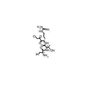 CC(C)C[C@H](N)C(=O)N[C@H](C(=O)N[C@@H](CCCNC(=N)N)C(=O)C(=O)CCl)[C@@H](C)O